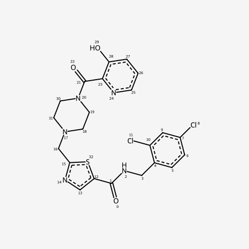 O=C(NCc1ccc(Cl)cc1Cl)c1cnc(CN2CCN(C(=O)c3ncccc3O)CC2)s1